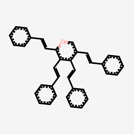 b1cc(C=Cc2ccccc2)c(C=Cc2ccccc2)c(C=Cc2ccccc2)c1C=Cc1ccccc1